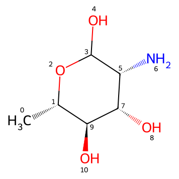 C[C@@H]1OC(O)[C@H](N)[C@H](O)[C@H]1O